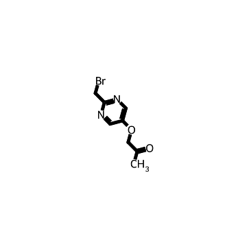 CC(=O)COc1cnc(CBr)nc1